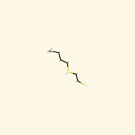 CCCCCCCSCCF